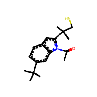 CC(=O)n1c(C(C)(C)CS)cc2ccc(C(C)(C)C)cc21